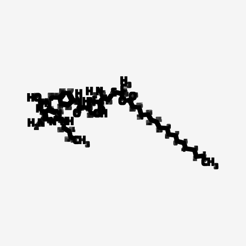 CCCCCCCCCCCCCCCCCC(=O)OC(C)SC[C@H](N)C(=O)N[C@@H](CO)C(=O)Nc1ccc(Cn2c(O)nc3c(N)nc(NCCCC)nc32)cc1